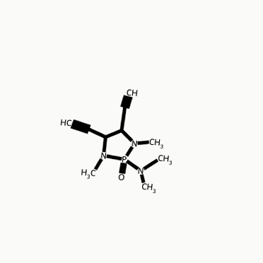 C#CC1C(C#C)N(C)P(=O)(N(C)C)N1C